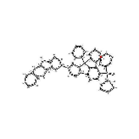 O=P(c1ccccc1)(c1ccccc1)c1ccc2c(c1)C(c1ccccc1)(c1ccccc1)c1cc(-c3ccc4oc5cc6ccccc6cc5c4c3)ccc1-2